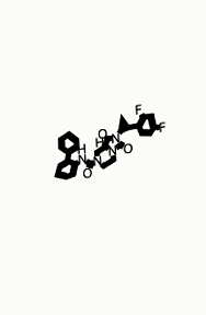 O=C(Nc1ccccc1-c1ccccc1)N1CCN2C(=O)N(C3CC3c3ccc(F)cc3F)C(=O)[C@@H]2C1